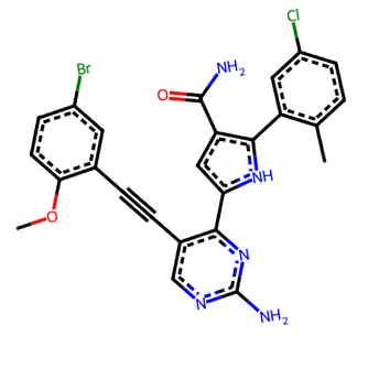 COc1ccc(Br)cc1C#Cc1cnc(N)nc1-c1cc(C(N)=O)c(-c2cc(Cl)ccc2C)[nH]1